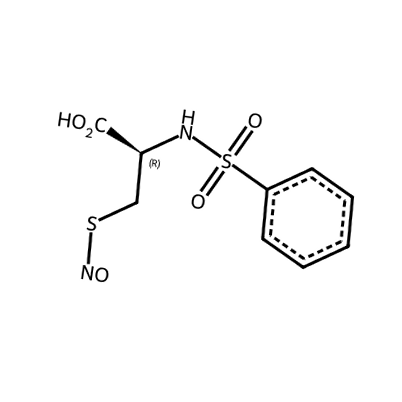 O=NSC[C@H](NS(=O)(=O)c1ccccc1)C(=O)O